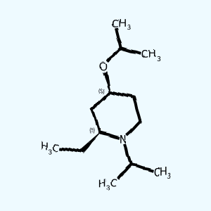 CC[C@H]1C[C@@H](OC(C)C)CCN1C(C)C